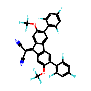 N#CC(C#N)=C1c2cc(OC(F)(F)F)c(-c3c(F)cc(F)cc3F)cc2-c2cc(-c3c(F)cc(F)cc3F)c(OC(F)(F)F)cc21